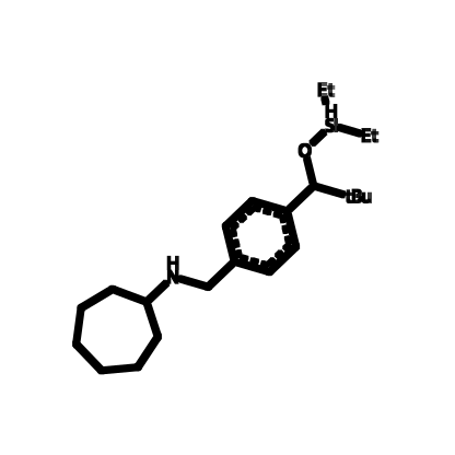 CC[SiH](CC)OC(c1ccc(CNC2CCCCCC2)cc1)C(C)(C)C